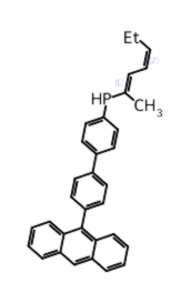 CC/C=C\C=C(/C)Pc1ccc(-c2ccc(-c3c4ccccc4cc4ccccc34)cc2)cc1